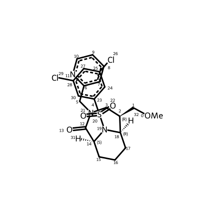 COC[C@@H]1CN(Cc2ccccn2)C(=O)[C@@H]2CCC[C@H]1N2S(=O)(=O)c1cc(Cl)cc(Cl)c1